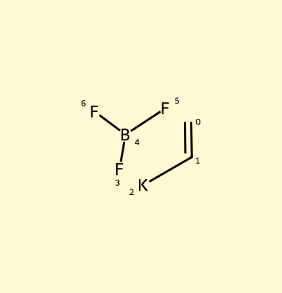 C=[CH][K].FB(F)F